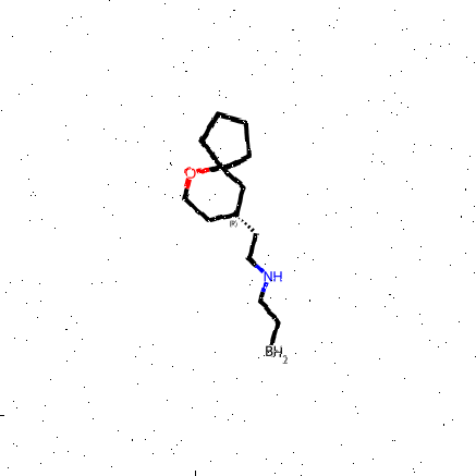 BCCNCC[C@@H]1CCOC2(CCCC2)C1